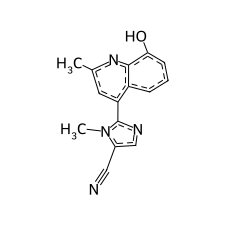 Cc1cc(-c2ncc(C#N)n2C)c2cccc(O)c2n1